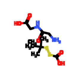 C.CC(C)(C)SSC(=O)O.NCC(=O)NCC(=O)O